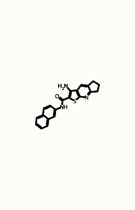 Nc1c(C(=O)Nc2ccc3ccccc3c2)sc2nc3c(cc12)CCC3